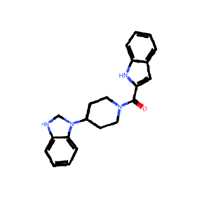 O=C(c1cc2ccccc2[nH]1)N1CCC(N2[CH]Nc3ccccc32)CC1